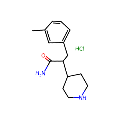 Cc1cccc(CC(C(N)=O)C2CCNCC2)c1.Cl